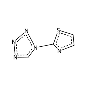 c1csc(-n2cnnn2)n1